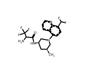 C[C@H]1C[C@@H](NC(=O)C(N)C(F)(F)F)CN(c2ccc(C(F)F)c3ncccc23)C1